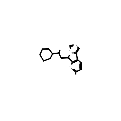 Fc1ccc2c(n1)C(CC(F)C1CCCCC1)n1cncc1-2